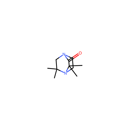 CC1(C)CN2CCN1C(C)(C)C2=O